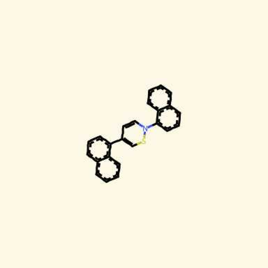 C1=CN(c2cccc3ccccc23)SC=C1c1cccc2ccccc12